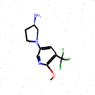 COc1ncc(N2CC[C@@H](N)C2)cc1C(F)(F)F